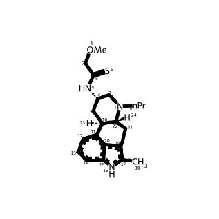 CCCN1C[C@@H](NC(=S)COC)C[C@@H]2c3cccc4[nH]c(C)c(c34)C[C@H]21